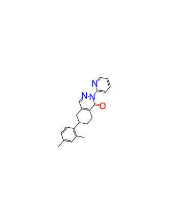 Cc1ccc(C2CCc3c(cnn(-c4ccccn4)c3=O)C2)c(C)c1